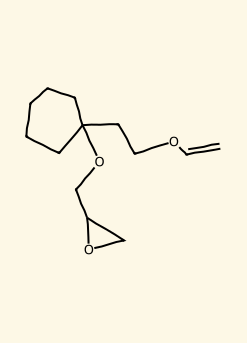 C=COCCC1(OCC2CO2)CCCCC1